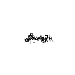 CC(C)C(C(=O)O)N1Cc2ccc(-c3ccc(NC(=O)Nc4cc(Cl)ccc4Oc4ccccc4)cc3)cc2C1=O